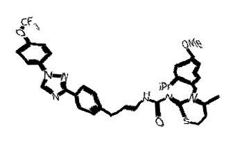 COc1ccc(N2/C(=N/C(=O)NCCCc3ccc(-c4ncn(-c5ccc(OC(F)(F)F)cc5)n4)cc3)SCCC2C)c(C(C)C)c1